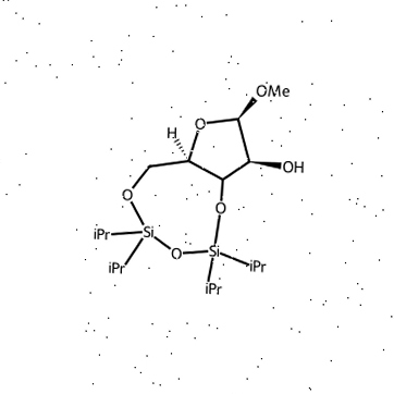 CO[C@@H]1O[C@@H]2CO[Si](C(C)C)(C(C)C)O[Si](C(C)C)(C(C)C)OC2[C@@H]1O